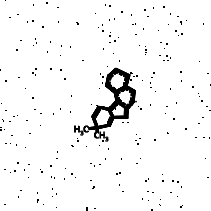 CC1(C)C=CC2=c3c([c]cc4ccccc34)=CC2=C1